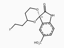 O=C(O)c1ccc2c(c1)[C@]1(OCCC(CCF)O1)C(=O)N2